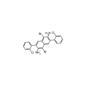 Nc1c(-c2ccccc2Cl)cc2c(Br)c(N)c(-c3ccccc3Cl)cc2c1Br